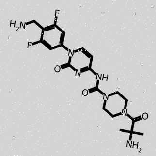 CC(C)(N)C(=O)N1CCN(C(=O)Nc2ccn(-c3cc(F)c(CN)c(F)c3)c(=O)n2)CC1